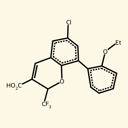 CCOc1ccccc1-c1cc(Cl)cc2c1OC(C(F)(F)F)C(C(=O)O)=C2